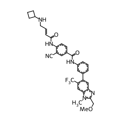 COCc1nc2cc(-c3cccc(NC(=O)c4ccc(NC(=O)C=CCNC5CCC5)c(C#N)c4)c3)c(C(F)(F)F)cc2n1C